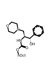 CCCCCCCCOC(=O)N[C@@H](CN1CCOCC1)[C@@H](O)c1ccccc1